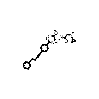 COC(=O)[C@H](CNC(=O)CN(C)C1CC1)NC(=O)c1ccc(C#C/C=C/c2ccccc2)cc1